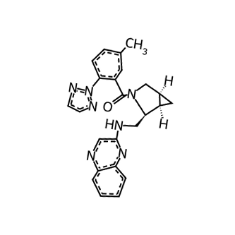 Cc1ccc(-n2nccn2)c(C(=O)N2C[C@H]3C[C@H]3[C@H]2CNc2cnc3ccccc3n2)c1